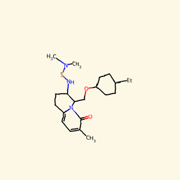 CCC1CCC(OCC2C(NSN(C)C)CCc3ccc(C)c(=O)n32)CC1